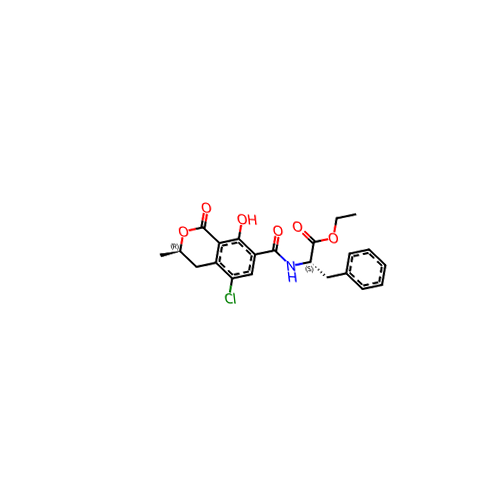 CCOC(=O)[C@H](Cc1ccccc1)NC(=O)c1cc(Cl)c2c(c1O)C(=O)O[C@H](C)C2